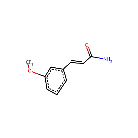 NC(=O)C=Cc1cccc(OC(F)(F)F)c1